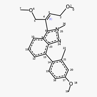 COC/C=C(/COC)c1c2cccc(-c3ccc(OC)cc3C)c2nn1C